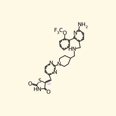 Nc1ccc(CNCC2CCN(c3nccc(/C=C4\SC(=O)NC4=O)n3)CC2)c(-c2ccccc2OC(F)(F)F)n1